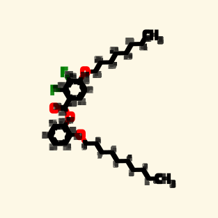 CCCCCCCCCCOc1ccccc1OC(=O)c1ccc(OCCCCCCCC)c(F)c1F